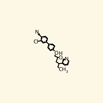 CCC(CC(O)COc1ccc(-c2ccc(C#N)c(Cl)c2)cc1)c1cccnc1